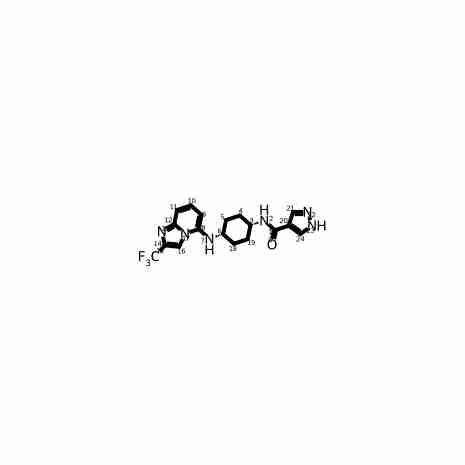 O=C(N[C@H]1CC[C@@H](Nc2cccc3nc(C(F)(F)F)cn23)CC1)c1cn[nH]c1